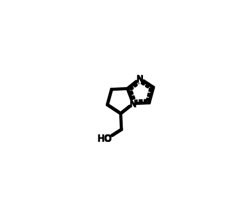 OCC1CCc2nccn21